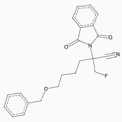 N#CC(CF)(CCCCOCc1ccccc1)N1C(=O)c2ccccc2C1=O